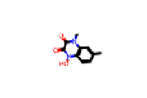 Cc1ccc2c(c1)n(C)c(=O)c(=O)n2O